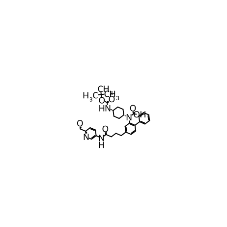 CC(C)(C)OC(=O)N[C@H]1CC[C@H](N(C(=O)O)c2cc(CCCC(=O)Nc3ccc(C=O)nc3)ccc2-c2ccccc2)CC1